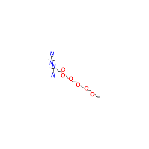 C=CCOCCOCCOCCOCCOC(=O)CCC(C)(C#N)N=NC(C)(C)C#N